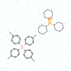 C1CCC([PH+](C2CCCCC2)C2CCCCC2)CC1.Cc1ccc([B-](c2ccc(C)cc2)(c2ccc(C)cc2)c2ccc(C)cc2)cc1